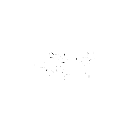 NCCCC[C@H](NC(=O)CCNC(=O)[C@H](Cc1c[nH]cn1)NC(=O)[C@H](CCC(N)=O)NC(=O)[C@H](CO)NC(=O)[C@@H](N)CO)C(=O)[C](C(=O)O)C(=O)O